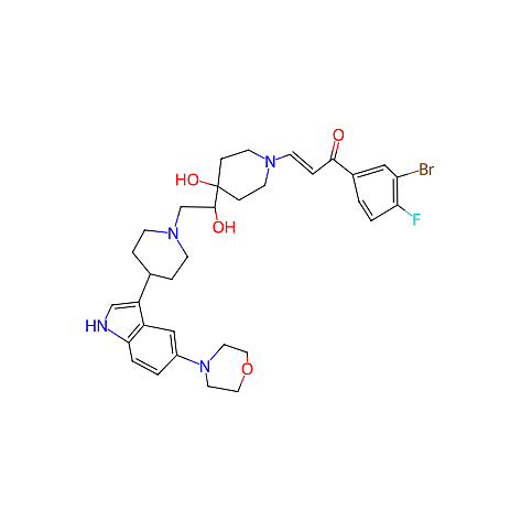 O=C(C=CN1CCC(O)(C(O)CN2CCC(c3c[nH]c4ccc(N5CCOCC5)cc34)CC2)CC1)c1ccc(F)c(Br)c1